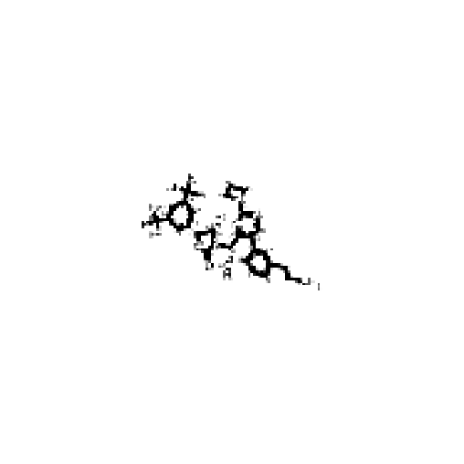 CCCc1ccc(OC)c(-c2cnc(N3CCC3)nc2CN2C(=O)O[C@H](c3cc(C(F)(F)F)cc(C(F)(F)F)c3)[C@@H]2C)c1